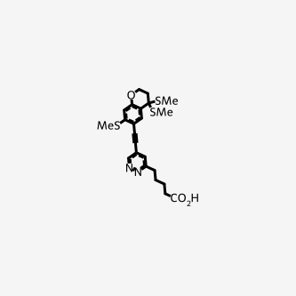 CSc1cc2c(cc1C#Cc1cnnc(CCCCC(=O)O)c1)C(SC)(SC)CCO2